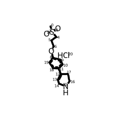 CS(=O)(=O)CCCOc1ccc(C2=CCNCC2)cc1.Cl